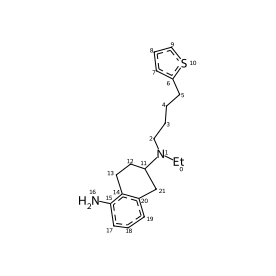 CCN(CCCCc1cccs1)C1CCc2c(N)cccc2C1